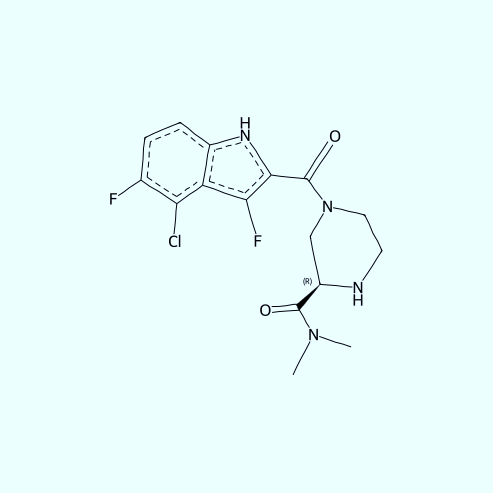 CN(C)C(=O)[C@H]1CN(C(=O)c2[nH]c3ccc(F)c(Cl)c3c2F)CCN1